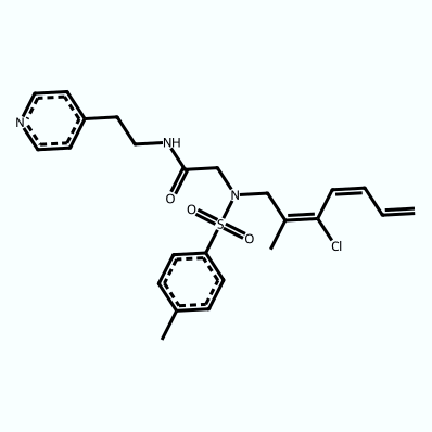 C=C/C=C\C(Cl)=C(\C)CN(CC(=O)NCCc1ccncc1)S(=O)(=O)c1ccc(C)cc1